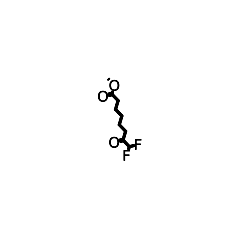 COC(=O)CCCCCC(=O)C(F)F